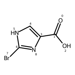 O=C(O)c1c[nH]c(Br)n1